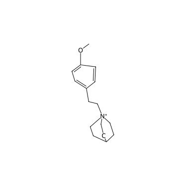 COc1ccc(CC[N+]23CCC(CC2)CC3)cc1